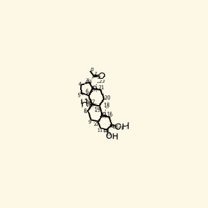 CC(=O)[C@H]1CCC2[C@@H]3CCC4C[C@H](O)[C@H](O)C[C@]4(C)C3CC[C@@]21C